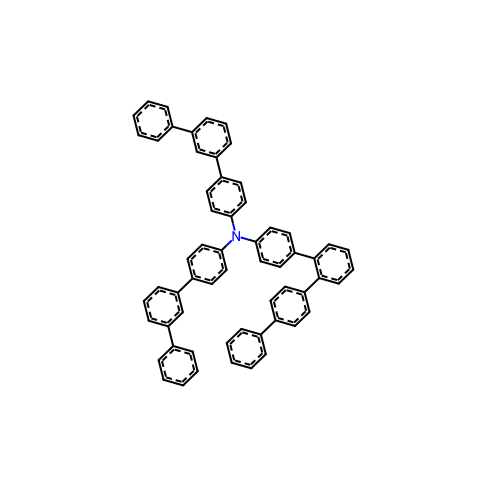 c1ccc(-c2ccc(-c3ccccc3-c3ccc(N(c4ccc(-c5cccc(-c6ccccc6)c5)cc4)c4ccc(-c5cccc(-c6ccccc6)c5)cc4)cc3)cc2)cc1